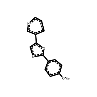 COc1ccc(-c2ncc(-c3cccnc3)o2)cc1